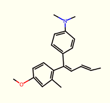 C/C=C/C=C(\c1ccc(N(C)C)cc1)c1ccc(OC)cc1C